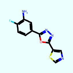 Nc1cc(-c2nnc(-c3cncs3)o2)ccc1F